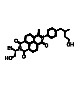 C=c1c2ccc3c4c(ccc(c(=O)n1-c1ccc(CC(C)CCO)cc1)c42)C(=O)N(C(CC)CO)C3=O